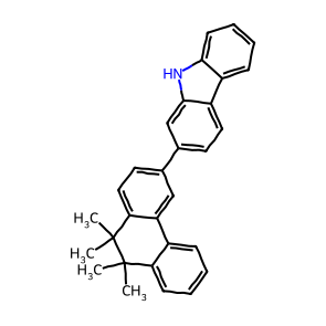 CC1(C)c2ccccc2-c2cc(-c3ccc4c(c3)[nH]c3ccccc34)ccc2C1(C)C